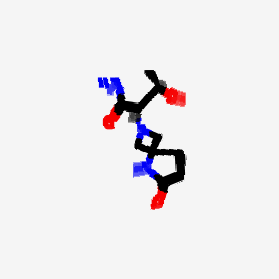 C[C@@H](O)[C@@H](C(N)=O)N1CC2(CCC(=O)N2)C1